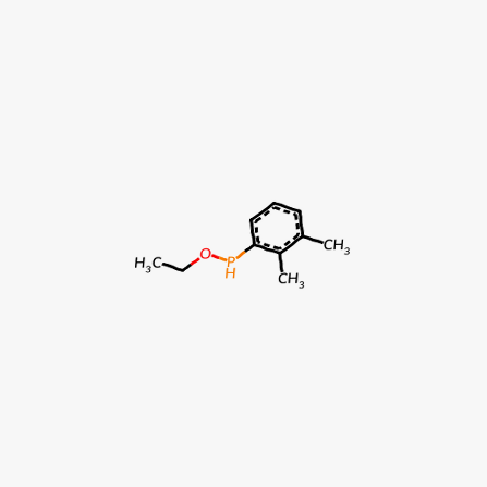 CCOPc1cccc(C)c1C